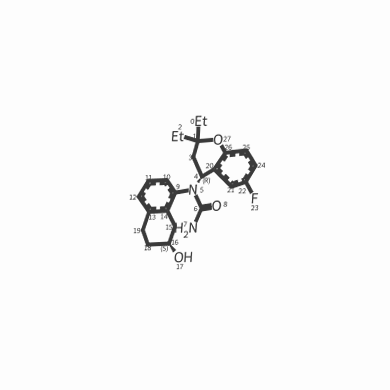 CCC1(CC)C[C@@H](N(C(N)=O)c2cccc3c2C[C@@H](O)CC3)c2cc(F)ccc2O1